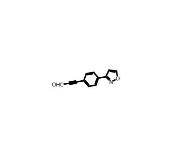 O=CC#Cc1ccc(-c2ccon2)cc1